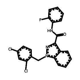 O=C(Nc1ccccc1F)c1nn(Cc2ccc(Cl)cc2Cl)c2ccccc12